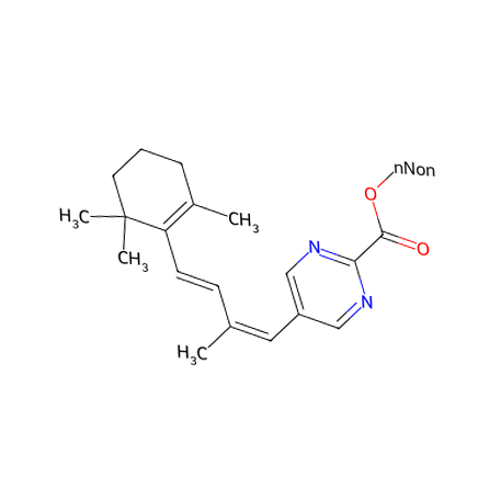 CCCCCCCCCOC(=O)c1ncc(C=C(C)C=CC2=C(C)CCCC2(C)C)cn1